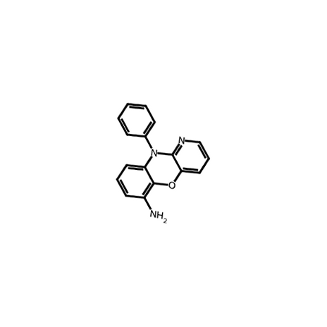 Nc1cccc2c1Oc1cccnc1N2c1ccccc1